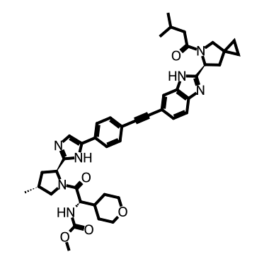 COC(=O)N[C@H](C(=O)N1C[C@H](C)C[C@H]1c1ncc(-c2ccc(C#Cc3ccc4nc([C@@H]5CC6(CC6)CN5C(=O)CC(C)C)[nH]c4c3)cc2)[nH]1)C1CCOCC1